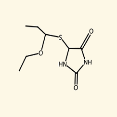 CCOC(CC)SC1NC(=O)NC1=O